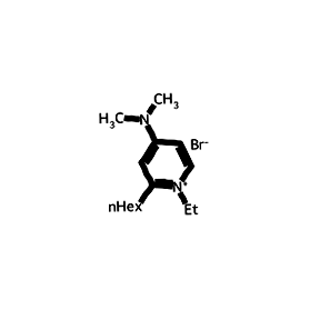 CCCCCCc1cc(N(C)C)cc[n+]1CC.[Br-]